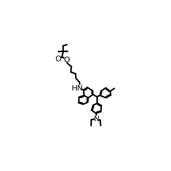 CCN(CC)c1ccc(C(c2ccc(C)cc2)c2ccc(NCCCCCCOC(=O)C(C)(C)CC)c3ccccc23)cc1